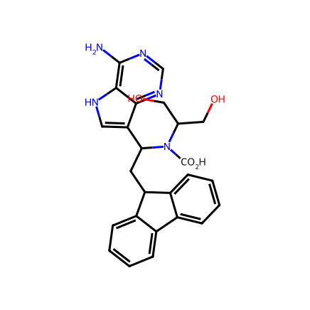 Nc1ncnc2c(C(CC3c4ccccc4-c4ccccc43)N(C(=O)O)C(CO)CO)c[nH]c12